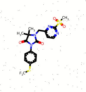 CC1(C)C(=O)N(c2ccc(SC(F)(F)F)cc2)C(=O)N1Cc1ccnc(S(C)(=O)=O)n1